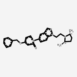 C[C@@H]1CC[C@@H](C)N1CCn1ncc2cc(-n3ccc(OCc4ccccc4)cc3=O)ccc21